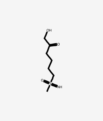 CS(=N)(=O)CCCCC(=O)CO